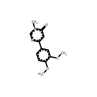 COc1ccc(-c2cc(=O)n(C)cn2)cc1OC